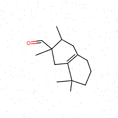 CC1CC2=C(CC1(C)C=O)C(C)(C)CCC2